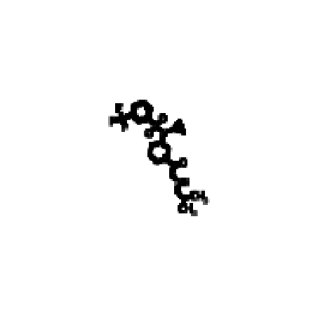 CC(C)CNCC(=O)N1CCCC(N(C2CC2)S(=O)(=O)c2cccc(C(F)(F)F)c2)C1